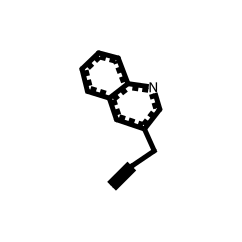 C#CCc1cnc2ccccc2c1